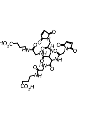 O=C(O)CCCNC(=O)CNC(=O)C(NC(=O)CN1C(=O)C=CC1=O)C(NC(=O)CN1C(=O)C=CC1=O)C(=O)NCC(=O)NCCCC(=O)O